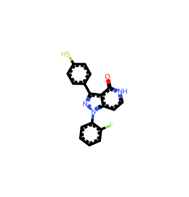 O=c1[nH]ccc2c1c(-c1ccc(S)cc1)nn2-c1ccccc1F